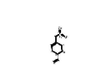 C=C[C@@H]1CC=C(C[SH](=O)=O)CC1